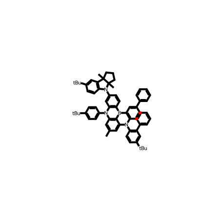 Cc1cc2c3c(c1)N(c1ccc(C(C)(C)C)cc1-c1ccccc1)c1ccc(-c4ccccc4)cc1B3c1ccc(N3c4ccc(C(C)(C)C)cc4C4(C)CCCC34C)cc1N2c1ccc(C(C)(C)C)cc1